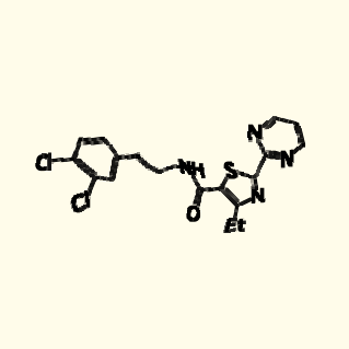 CCc1nc(-c2ncccn2)sc1C(=O)NCCc1ccc(Cl)c(Cl)c1